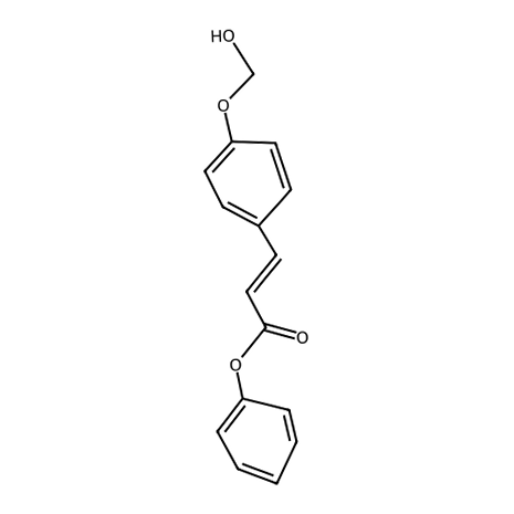 O=C(C=Cc1ccc(OCO)cc1)Oc1ccccc1